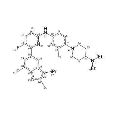 CCN(CC)C1CCN(c2ccc(Nc3ncc(F)c(-c4cc(F)c5nc(C)n(C(C)C)c5c4)n3)nc2C)CC1